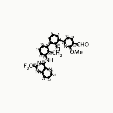 COc1nc(-c2cccc(-c3cccc(Nc4nc(C(F)(F)F)nc5cccnc45)c3C)c2Cl)ccc1C=O